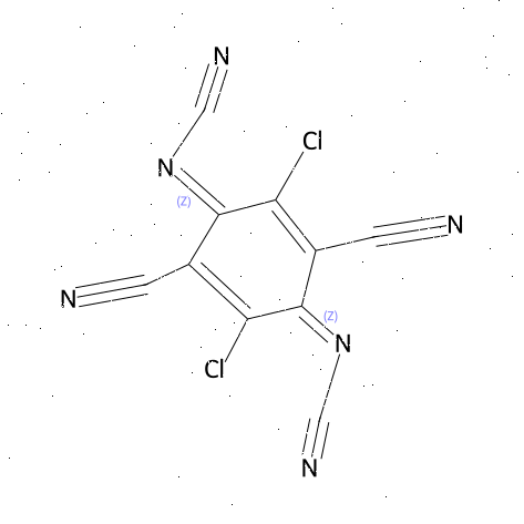 N#C/N=C1C(Cl)=C(C#N)/C(=N/C#N)C(Cl)=C\1C#N